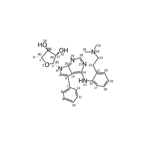 C[C@H]1O[C@@H](n2cc(-c3ccccc3)c3c(Nc4ccccc4CCN(C)C)ncnc32)[C@H](O)[C@@H]1O